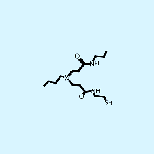 CCCCN(CCC(=O)NCCC)CCC(=O)NCCS